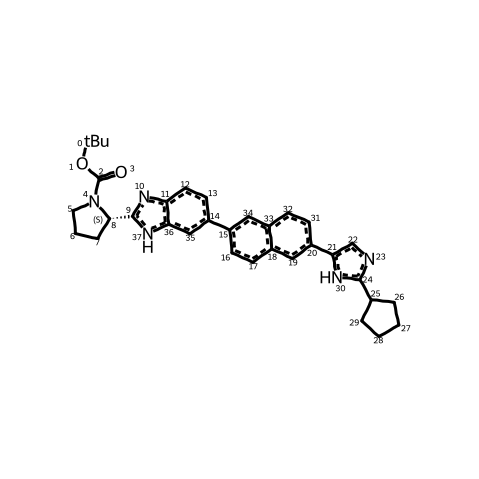 CC(C)(C)OC(=O)N1CCC[C@H]1c1nc2ccc(-c3ccc4cc(-c5cnc(C6CCCC6)[nH]5)ccc4c3)cc2[nH]1